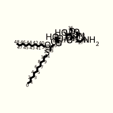 CCCCCCCCCCCCSCC(COP(=O)(O)OC[C@H]1OC(n2ccc(N)nc2=O)[C@H](OC)[C@@H]1O)OCCCCCCCCCC